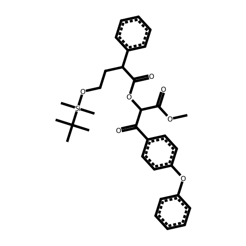 COC(=O)C(OC(=O)C(CCO[Si](C)(C)C(C)(C)C)c1ccccc1)C(=O)c1ccc(Oc2ccccc2)cc1